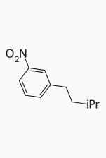 CC(C)CCc1cccc([N+](=O)[O-])c1